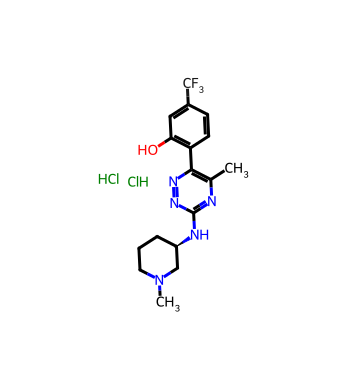 Cc1nc(N[C@@H]2CCCN(C)C2)nnc1-c1ccc(C(F)(F)F)cc1O.Cl.Cl